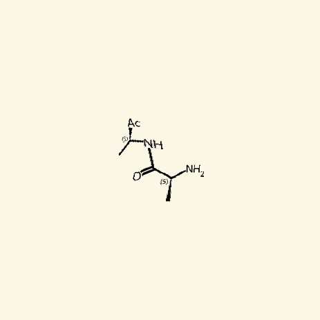 CC(=O)[C@H](C)NC(=O)[C@H](C)N